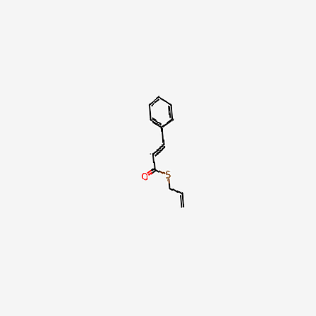 C=CCSC(=O)/[C]=C/c1ccccc1